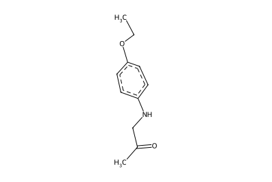 CCOc1ccc(NCC(C)=O)cc1